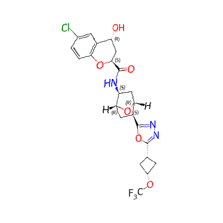 O=C(N[C@H]1C[C@H]2O[C@@H]1C[C@@H]2c1nnc([C@H]2C[C@@H](OC(F)(F)F)C2)o1)[C@@H]1C[C@@H](O)c2cc(Cl)ccc2O1